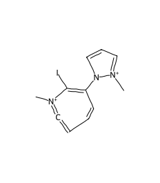 C[N+]1=C=CC=CC(n2ccc[n+]2C)=C1I